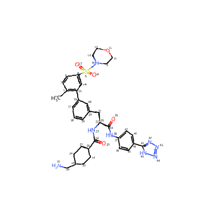 Cc1ccc(S(=O)(=O)N2CCOCC2)cc1-c1cccc(C[C@H](NC(=O)C2CCC(CN)CC2)C(=O)Nc2ccc(-c3nnn[nH]3)cc2)c1